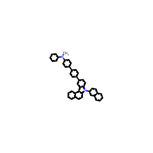 CN(c1ccccc1)c1ccc(-c2ccc(-c3ccc4c(c3)c3c5ccccc5ccc3n4-c3ccc4ccccc4c3)cc2)cc1